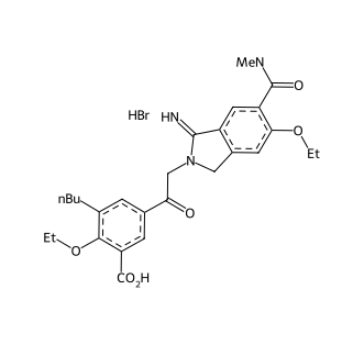 Br.CCCCc1cc(C(=O)CN2Cc3cc(OCC)c(C(=O)NC)cc3C2=N)cc(C(=O)O)c1OCC